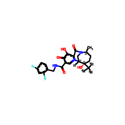 [2H]C([2H])([2H])[C@]1(O)CC[C@H](C)N2C[C@H]1n1cc(C(=O)NCc3ccc(F)cc3F)c(=O)c(O)c1C2=O